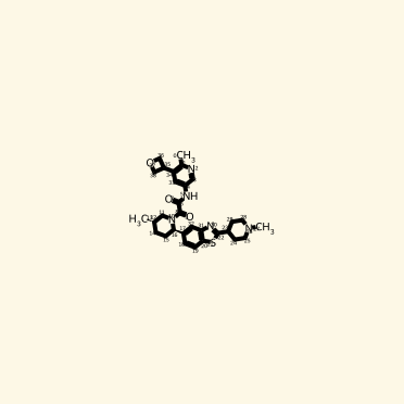 Cc1ncc(NC(=O)C(=O)N2C[C@@H](C)CC[C@@H]2c2ccc3sc(C4CCN(C)CC4)nc3c2)cc1C1COC1